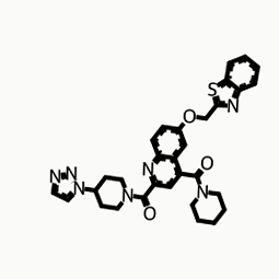 O=C(c1cc(C(=O)N2CCCCC2)c2cc(OCc3nc4ccccc4s3)ccc2n1)N1CCC(n2ccnn2)CC1